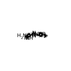 Nc1n[nH]c2cc(-c3cnc(NCc4ccc(OC5CC5)cc4)nc3)ccc12